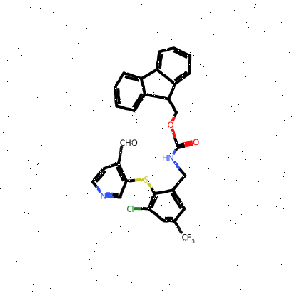 O=Cc1ccncc1Sc1c(Cl)cc(C(F)(F)F)cc1CNC(=O)OCC1c2ccccc2-c2ccccc21